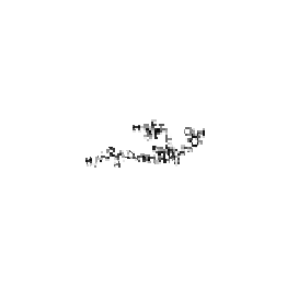 NCCC(=O)NCCOCCOCCN1CC(C(=O)NCCCc2ccc(Cl)c(Cl)c2)=C(O)C1=O.O=C(O)C(F)(F)F